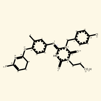 Cc1cc(/N=c2\[nH]c(=O)n(CCC(=O)O)c(=O)n2Cc2ccc(Cl)cc2)ccc1OC1=NC(F)=CCC1